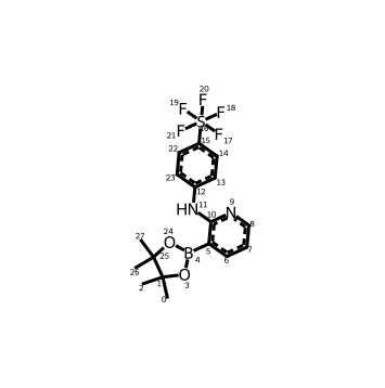 CC1(C)OB(c2cccnc2Nc2ccc(S(F)(F)(F)(F)F)cc2)OC1(C)C